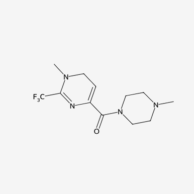 CN1CCN(C(=O)C2=CCN(C)C(C(F)(F)F)=N2)CC1